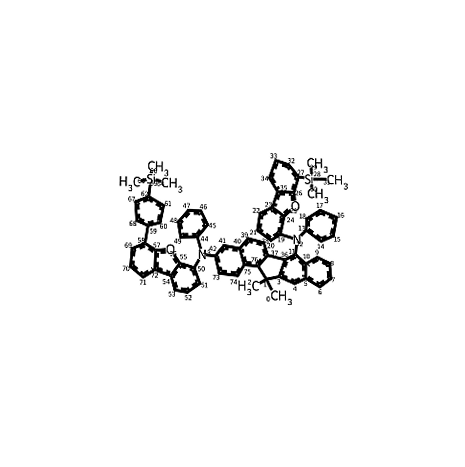 CC1(C)c2cc3ccccc3c(N(c3ccccc3)c3cccc4c3oc3c([Si](C)(C)C)cccc34)c2-c2ccc3cc(N(c4ccccc4)c4cccc5c4oc4c(-c6ccc([Si](C)(C)C)cc6)cccc45)ccc3c21